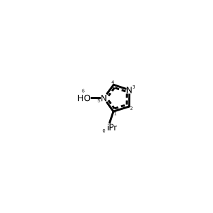 CC(C)c1cncn1O